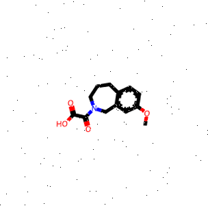 COc1ccc2c(c1)CN(C(=O)C(=O)O)CCC2